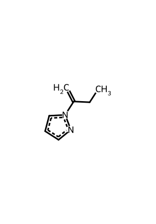 C=C(CC)n1cccn1